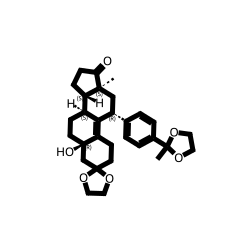 CC1(c2ccc([C@H]3C[C@]4(C)C(=O)CC[C@H]4[C@@H]4CC[C@@]5(O)CC6(CCC5=C43)OCCO6)cc2)OCCO1